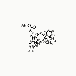 COC(=O)CCCN1C(=O)N(CC2CCC2)[C@H]2CC[C@](c3ccccc3)(N(C)C)CCCC21